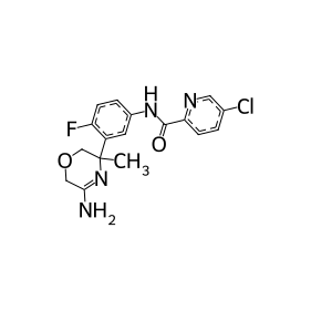 CC1(c2cc(NC(=O)c3ccc(Cl)cn3)ccc2F)COCC(N)=N1